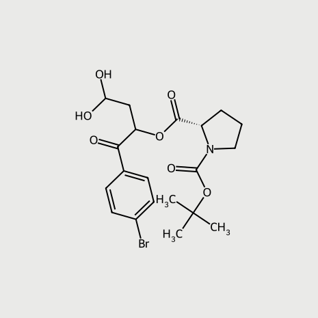 CC(C)(C)OC(=O)N1CCC[C@H]1C(=O)OC(CC(O)O)C(=O)c1ccc(Br)cc1